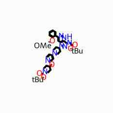 COCOc1ccccc1-c1cc2c(nn1)c(NC(=O)OC(C)(C)C)nn2C1CCN(c2ccnc(OC3CCN(C(=O)OC(C)(C)C)CC3)c2)CC1